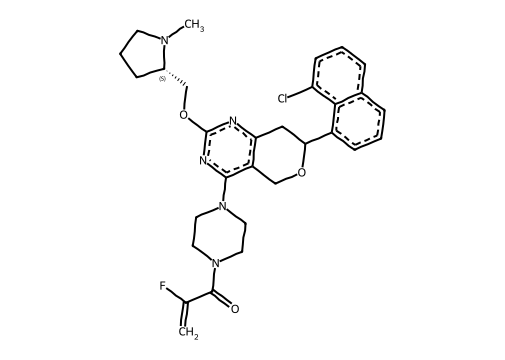 C=C(F)C(=O)N1CCN(c2nc(OC[C@@H]3CCCN3C)nc3c2COC(c2cccc4cccc(Cl)c24)C3)CC1